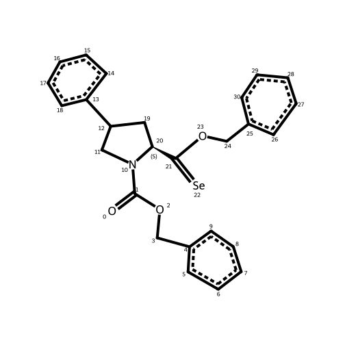 O=C(OCc1ccccc1)N1CC(c2ccccc2)C[C@H]1C(=[Se])OCc1ccccc1